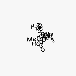 COc1cc(-c2ccc(OS(C)(=O)=O)cc2)c(OC)c(C(=O)N(C)C)c1-c1ccc(OCc2ccccc2)c(O)c1